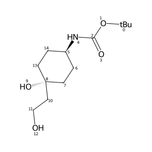 CC(C)(C)OC(=O)N[C@H]1CC[C@@](O)(CCO)CC1